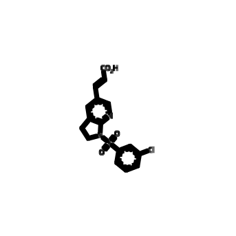 O=C(O)C=Cc1cnc2c(c1)CCN2S(=O)(=O)c1cccc(Cl)c1